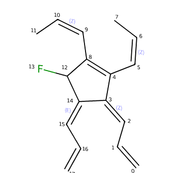 C=C/C=C1C(/C=C\C)=C(/C=C\C)C(F)C/1=C/C=C